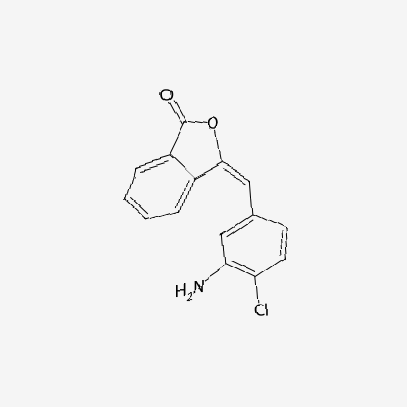 Nc1cc(/C=C2/OC(=O)c3ccccc32)ccc1Cl